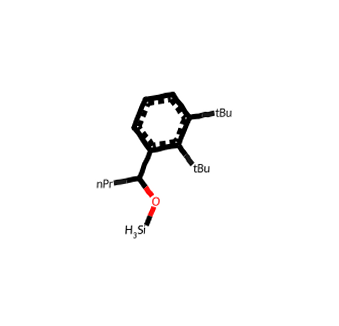 CCCC(O[SiH3])c1cccc(C(C)(C)C)c1C(C)(C)C